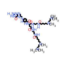 CN(C)CCCN(C)CCCCCC(=O)NCCCNC(=O)CCC(NC(=O)c1ccc(NCc2cnc3nc(N)[nH]c(=O)c3n2)cc1)C(=O)NCCCNC(=O)CCCCCN(C)CCCN(C)C